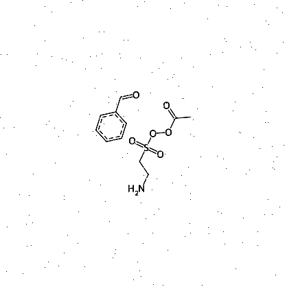 CC(=O)OOS(=O)(=O)CCN.O=Cc1ccccc1